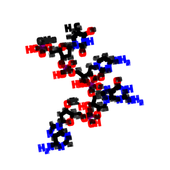 CCO[C@@H]1C[C@H](n2cnc3c(N)ncnc32)O[C@@H]1COP(=O)(O)O[C@H](Cn1cnc2c(=O)[nH]c(N)nc21)[C@H](O)COP(=O)(O)O[C@H](Cn1ccc(N)nc1=O)[C@H](O)COP(=O)(O)O[C@@H]1C[C@H](n2cc(C)c(=O)[nH]c2=O)O[C@@H]1COP(=O)(O)OC